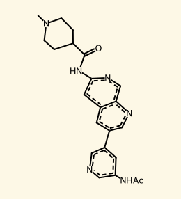 CC(=O)Nc1cncc(-c2cnc3cnc(NC(=O)C4CCN(C)CC4)cc3c2)c1